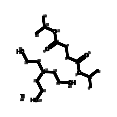 CC(C)OC(=O)CCC(=O)OC(C)C.OCCN(CCO)CCO.[Ti]